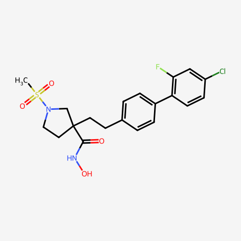 CS(=O)(=O)N1CCC(CCc2ccc(-c3ccc(Cl)cc3F)cc2)(C(=O)NO)C1